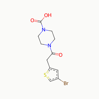 O=C(O)N1CCN(C(=O)Cc2cc(Br)cs2)CC1